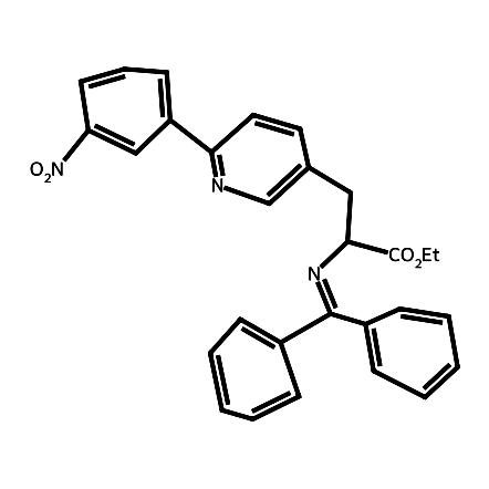 CCOC(=O)C(Cc1ccc(-c2cccc([N+](=O)[O-])c2)nc1)N=C(c1ccccc1)c1ccccc1